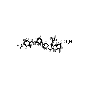 O=C(O)c1cc(F)c2nc(CN3CCN(c4cccc(OCc5ccc(C(F)(F)F)cc5F)n4)C=N3)n(C[C@@H]3CCO3)c2c1